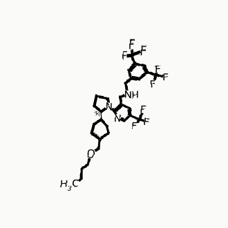 CCCCOCC1CCC([C@H]2CCCN2c2ncc(C(F)(F)F)cc2CNCc2cc(C(F)(F)F)cc(C(F)(F)F)c2)CC1